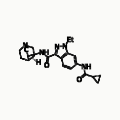 CCn1nc(C(=O)N[C@@H]2CN3CCC2CC3)c2ccc(NC(=O)C3CC3)cc21